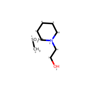 CS(=O)(=O)O.OCCN1CCCCC1